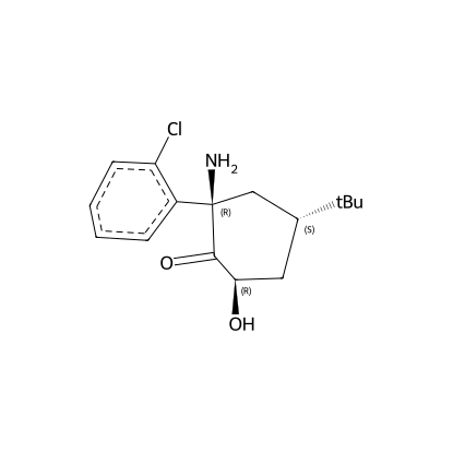 CC(C)(C)[C@@H]1C[C@@H](O)C(=O)[C@](N)(c2ccccc2Cl)C1